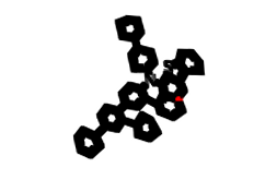 c1ccc(-c2ccc(N(c3ccc(-c4ccc(-c5ccccc5)cc4-c4ccccc4)cc3-c3ccccc3)c3cccc4c3sc3ccccc34)cc2)cc1